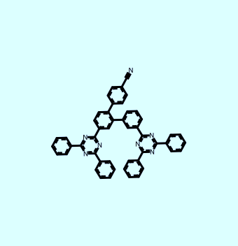 N#Cc1ccc(-c2ccc(-c3nc(-c4ccccc4)nc(-c4ccccc4)n3)cc2-c2cccc(-c3nc(-c4ccccc4)nc(-c4ccccc4)n3)c2)cc1